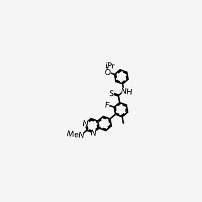 CNc1ncc2cc(-c3c(C)ccc(C(=S)Nc4cccc(OC(C)C)c4)c3F)ccc2n1